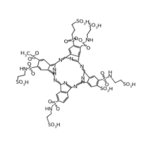 CS(=O)(=O)c1cc2c3nc4nc(nc5[nH]c(nc6nc(nc([nH]3)c2cc1S(=O)(=O)NCCS(=O)(=O)O)-c1cc(S(=O)(=O)NCCS(=O)(=O)O)ccc1-6)c1cc(S(=O)(=O)O)c(S(=O)(=O)NCCS(=O)(=O)O)cc51)-c1cc(S(=O)(=O)NCCS(=O)(=O)O)c(S(=O)(=O)CCCS(=O)(=O)O)cc1-4